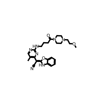 COCCN1CCN(C(=O)CCCNc2ncc(C)c(C(C#N)=C3Nc4ccccc4O3)n2)CC1